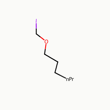 CCCCCCOCI